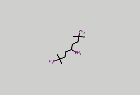 CC(C)(P)CCC(P)CCC(C)(C)P